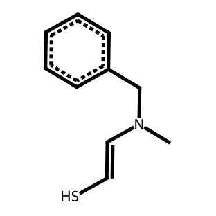 CN(/C=C/S)Cc1ccccc1